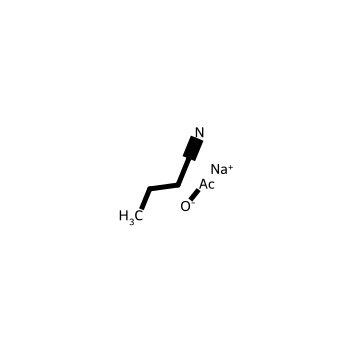 CC(=O)[O-].CCCC#N.[Na+]